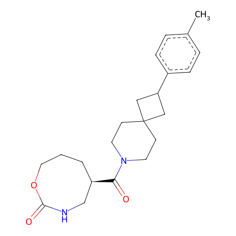 Cc1ccc(C2CC3(CCN(C(=O)[C@@H]4CCCOC(=O)NC4)CC3)C2)cc1